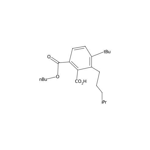 CCCCOC(=O)c1ccc(C(C)(C)C)c(CCCC(C)C)c1C(=O)O